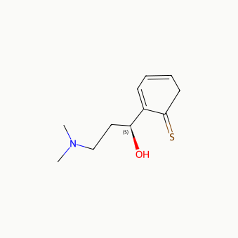 CN(C)CC[C@H](O)C1=CC=CCC1=S